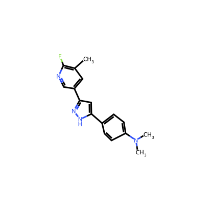 Cc1cc(-c2cc(-c3ccc(N(C)C)cc3)[nH]n2)cnc1F